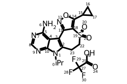 CC(C)n1c2c(c3c(N)ncnc31)-c1noc(C3CC3)c1S(=O)(=O)CC2.O=C(O)C(F)(F)F